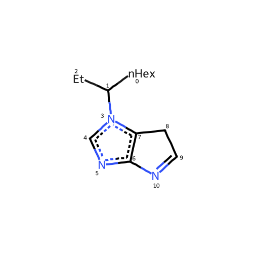 CCCCCCC(CC)n1cnc2c1CC=N2